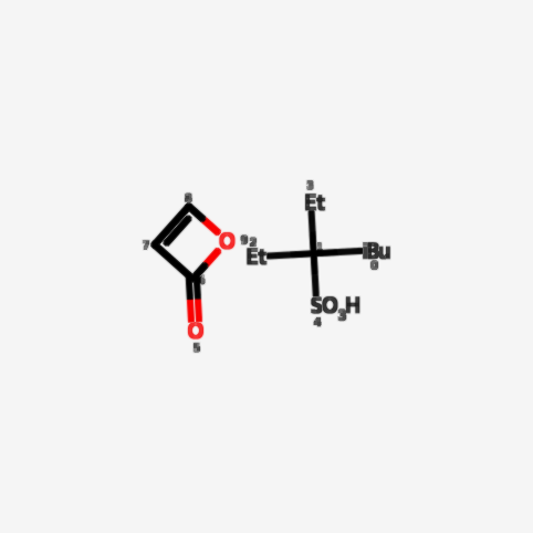 CCC(C)C(CC)(CC)S(=O)(=O)O.O=C1C=CO1